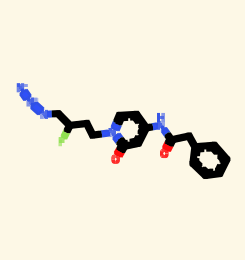 [N-]=[N+]=NCC(F)CCn1ccc(NC(=O)Cc2ccccc2)cc1=O